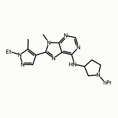 CCCN1CCC(Nc2ncnc3c2nc(-c2cnn(CC)c2C)n3C)C1